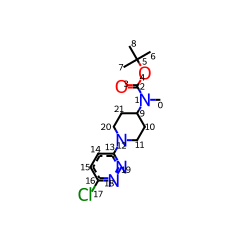 CN(C(=O)OC(C)(C)C)C1CCN(c2ccc(Cl)nn2)CC1